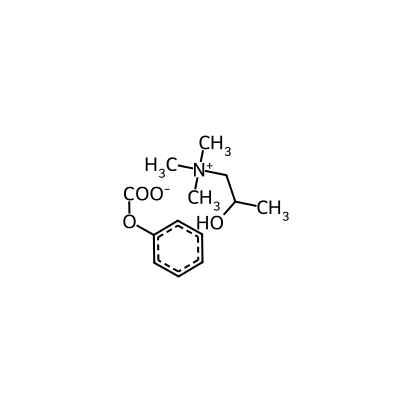 CC(O)C[N+](C)(C)C.O=C([O-])Oc1ccccc1